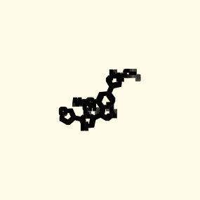 COc1cc(-c2cnn(C)c2)cn2ncc(-c3cnc(C4CCOC4)n3C)c12